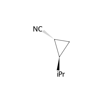 CC(C)[C@@H]1C[C@H]1C#N